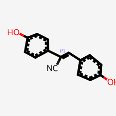 N#C/C(=C\c1ccc(O)cc1)c1ccc(O)cc1